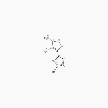 CC1=C(c2csc(Br)n2)CCC1N